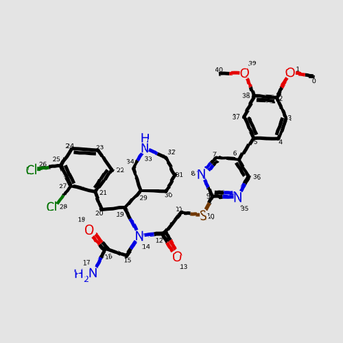 COc1ccc(-c2cnc(SCC(=O)N(CC(N)=O)C(Cc3cccc(Cl)c3Cl)C3CCCNC3)nc2)cc1OC